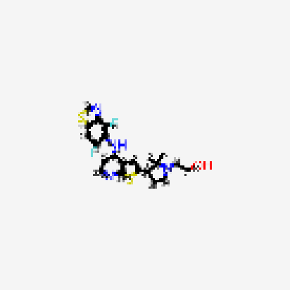 CC1(C)[C@H](c2cc3c(Nc4c(F)cc5scnc5c4F)ccnc3s2)CCN1CCO